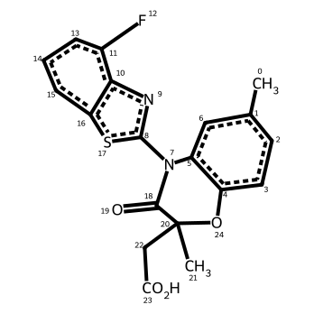 Cc1ccc2c(c1)N(c1nc3c(F)cccc3s1)C(=O)C(C)(CC(=O)O)O2